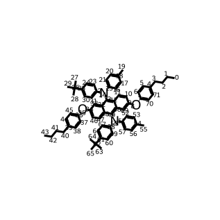 CCCCc1ccc(Oc2ccc3c(N(c4ccc(C)cc4)c4ccc(C(C)(C)C)cc4)c4cc(Oc5ccc(CCCC)cc5)ccc4c(N(c4ccc(C)cc4)c4ccc(C(C)(C)C)cc4)c3c2)cc1